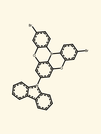 Brc1ccc2c(c1)Oc1cc(-n3c4ccccc4c4ccccc43)cc3c1B2c1ccc(Br)cc1O3